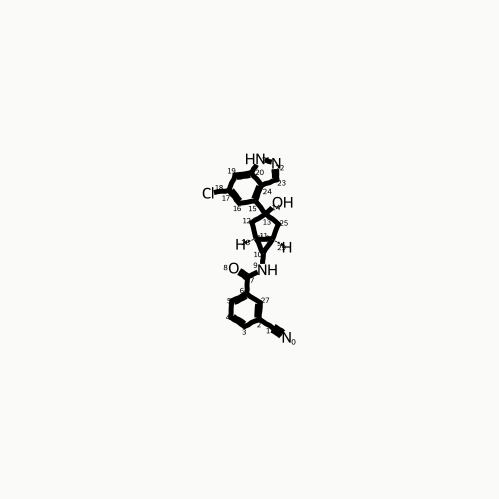 N#Cc1cccc(C(=O)NC2[C@H]3CC(O)(c4cc(Cl)cc5[nH]ncc45)C[C@@H]23)c1